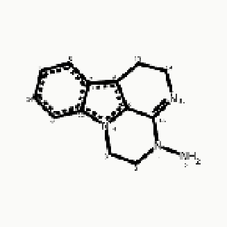 NN1CCn2c3c(c4ccccc42)CCN=C31